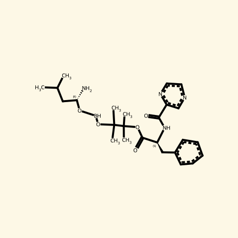 CC(C)C[C@H](N)OBOC(C)(C)C(C)(C)OC(=O)[C@H](Cc1ccccc1)NC(=O)c1cnccn1